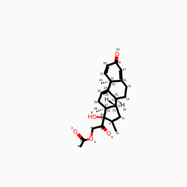 CC(=O)OCC(=O)[C@@]1(O)C(C)C[C@H]2[C@@H]3CCC4=CC(=O)C=C[C@]4(C)C3=CC[C@@]21C